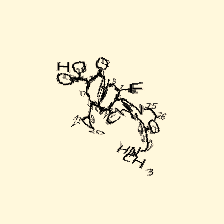 CNCC1CN(c2c(F)cn3c(=O)c(C(=O)O)cc(C4CC4)c3c2C)CCO1